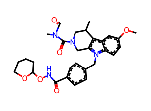 COc1ccc2c(c1)c1c(n2Cc2ccc(C(=O)NOC3CCCCO3)cc2)CN(C(=O)N(C)C=O)CC1C